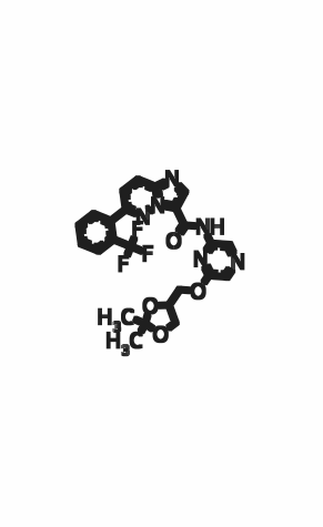 CC1(C)OCC(COc2cncc(NC(=O)c3cnc4ccc(-c5ccccc5C(F)(F)F)nn34)n2)O1